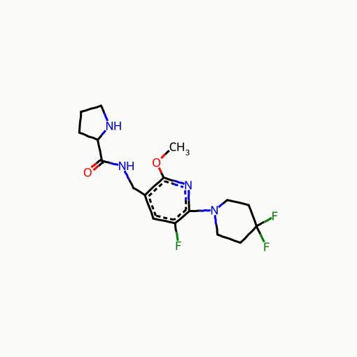 COc1nc(N2CCC(F)(F)CC2)c(F)cc1CNC(=O)C1CCCN1